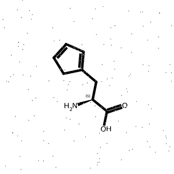 N[C@@H](CC1=CC=CC1)C(=O)O